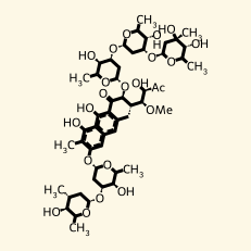 CO[C@@H]([C@@H]1Cc2cc3cc(O[C@H]4C[C@@H](O[C@H]5C[C@@H](C)[C@H](O)C(C)O5)[C@H](O)C(C)O4)c(C)c(O)c3c(O)c2C(=O)[C@H]1O[C@H]1C[C@@H](O[C@H]2C[C@@H](O[C@H]3C[C@](C)(O)[C@H](O)C(C)O3)[C@@H](O)C(C)O2)[C@H](O)C(C)O1)[C@@H](O)C(C)=O